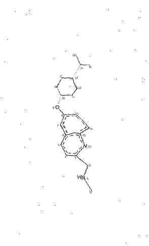 CNCc1ccc2cc(O[C@H]3CC[C@@H](C(C)C)CC3)ccc2n1